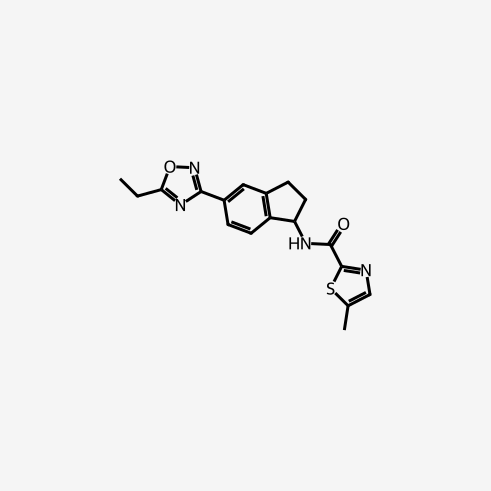 CCc1nc(-c2ccc3c(c2)CCC3NC(=O)c2ncc(C)s2)no1